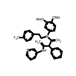 C=C(Nc1cccnc1)C(C(=C)N(CCc1ccc(C(F)(F)F)cc1)c1ccc(OC)c(OC)c1)c1ccccc1